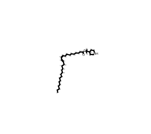 CCCCCCCCCCCCCCCC#C/C=C\CCCCCCCCC(=O)OC(C)(C)C1CCNCC1